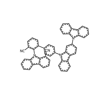 N#Cc1cccc(-c2ccc(-n3c4ccccc4c4ccc(-n5c6ccccc6c6ccccc65)cc43)cc2)c1-n1c2ccccc2c2cccc(C#N)c21